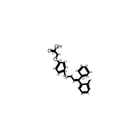 Cc1ccccc1C(=CCSc1ccc(OCC(=O)O)cc1)c1ccccc1